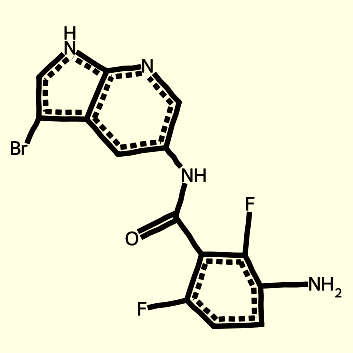 Nc1ccc(F)c(C(=O)Nc2cnc3[nH]cc(Br)c3c2)c1F